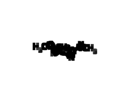 COc1cc(-c2cnn(C)c2)cn2ncc(C#Cc3cnn(-c4cccc(C)c4)c3C)c12